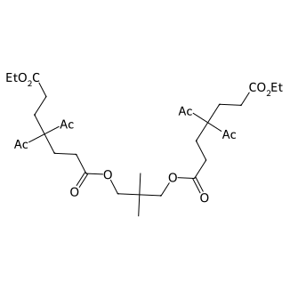 CCOC(=O)CCC(CCC(=O)OCC(C)(C)COC(=O)CCC(CCC(=O)OCC)(C(C)=O)C(C)=O)(C(C)=O)C(C)=O